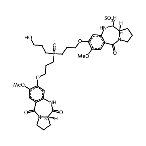 COc1cc2c(cc1OCCCP(=O)(CCCO)CCCOc1cc3c(cc1OC)C(=O)N1CCC[C@H]1C(S(=O)(=O)O)N3)NC(=O)[C@@H]1CCCN1C2=O